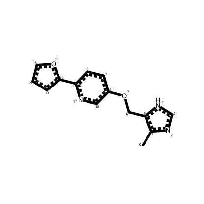 Cc1nc[nH]c1COc1ccc(-c2ccco2)nc1